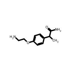 CC(C(N)=O)c1ccc(OCCN)cc1